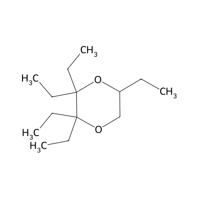 CCC1COC(CC)(CC)C(CC)(CC)O1